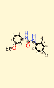 CCOc1cccc(NC(=O)Nc2ccc(C)cc2C)c1